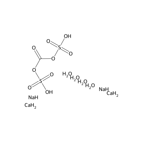 O.O.O.O.O=C(OS(=O)(=O)O)OS(=O)(=O)O.[CaH2].[CaH2].[NaH].[NaH]